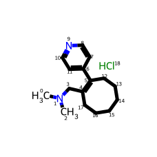 CN(C)C/C1=C(\c2ccncc2)CCCCCC1.Cl